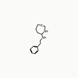 c1ccc(CCNC2CCCCCN2)cc1